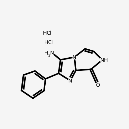 Cl.Cl.Nc1c(-c2ccccc2)nc2c(=O)[nH]ccn12